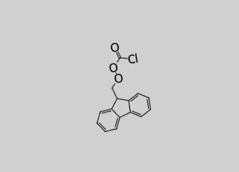 O=C(Cl)OOCC1c2ccccc2-c2ccccc21